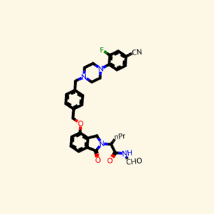 CCCC(C(=O)NC=O)N1Cc2c(OCc3ccc(CN4CCN(c5ccc(C#N)cc5F)CC4)cc3)cccc2C1=O